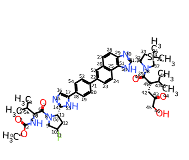 COC(=O)N[C@H](C(=O)N1CC(F)C[C@H]1c1ncc(-c2ccc(-c3ccc4c(ccc5nc([C@@H]6C[Si](C)(C)CN6C(=O)[C@@H](CC(=O)CO)C(C)C)[nH]c54)c3)cc2)[nH]1)C(C)C